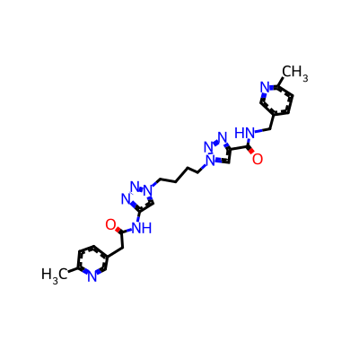 Cc1ccc(CNC(=O)c2cn(CCCCn3cc(NC(=O)Cc4ccc(C)nc4)nn3)nn2)cn1